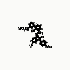 CC(C)(C)c1ccc(N2C(=O)C(=NNc3cccc(-c4cccc(OC(=O)O)c4)c3O)c3ccc(C(F)(F)F)cc32)cc1